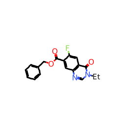 CCn1cnc2cc(C(=O)OCc3ccccc3)c(F)cc2c1=O